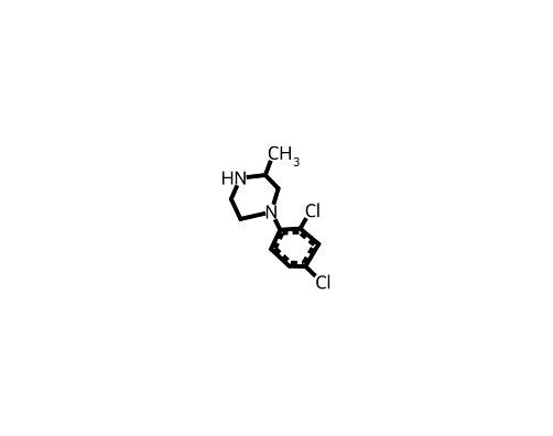 CC1CN(c2ccc(Cl)cc2Cl)CCN1